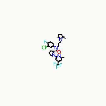 Cc1cc(C(F)(F)F)cc(N2CCC[C@H]2C(=O)N(CCCN2CCC[C@H]2C)c2ccc(F)c(Cl)c2)n1